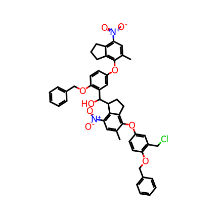 Cc1cc([N+](=O)[O-])c2c(c1Oc1ccc(OCc3ccccc3)c(C(O)C3CCc4c(Oc5ccc(OCc6ccccc6)c(CCl)c5)c(C)cc([N+](=O)[O-])c43)c1)CCC2